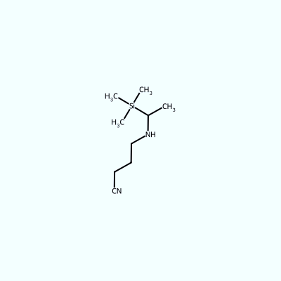 CC(NCCCC#N)[Si](C)(C)C